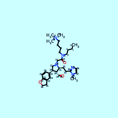 CCCCN(CCCC[N+](C)(C)C)C(=O)CN1C[C@H](c2ccc3c(c2)CCO3)[C@@H](C=O)[C@@H]1CCc1nccn1C